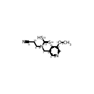 COc1cncc(CN(CCC#N)C(=S)S)c1